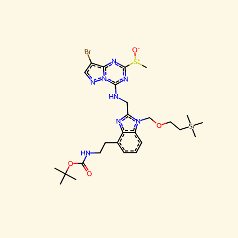 C[S+]([O-])c1nc(NCc2nc3c(CCNC(=O)OC(C)(C)C)cccc3n2COCC[Si](C)(C)C)n2ncc(Br)c2n1